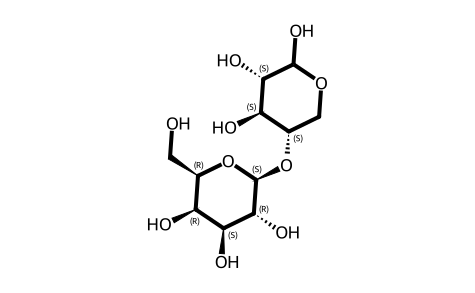 OC[C@H]1O[C@@H](O[C@H]2COC(O)[C@@H](O)[C@@H]2O)[C@H](O)[C@@H](O)[C@H]1O